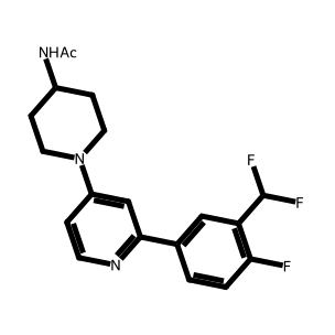 CC(=O)NC1CCN(c2ccnc(-c3ccc(F)c(C(F)F)c3)c2)CC1